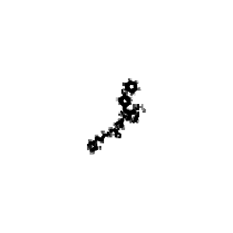 Nc1ncnc2c1c(-c1ccc(Oc3ccccc3)cc1)nn2C1CN(C(=O)CNCCCn2ccnc2)C1